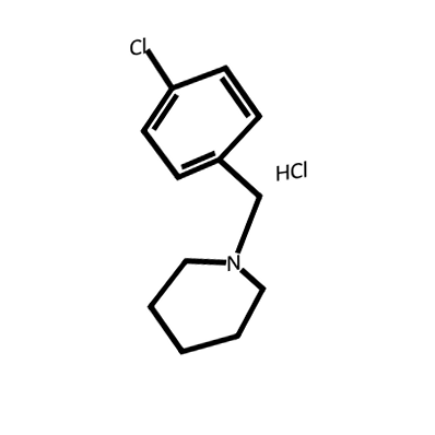 Cl.Clc1ccc(CN2CCCCC2)cc1